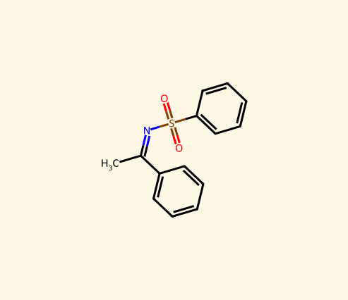 CC(=NS(=O)(=O)c1ccccc1)c1ccccc1